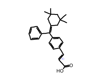 CC1(C)CC(=C(c2ccccc2)c2ccc(/C=C/C(=O)O)cc2)CC(C)(C)C1